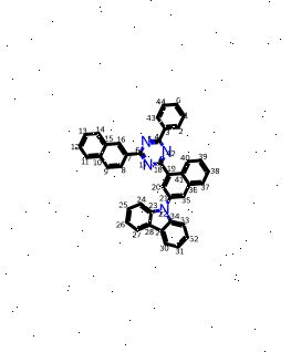 c1ccc(-c2nc(-c3ccc4ccccc4c3)nc(-c3cc(-n4c5ccccc5c5ccccc54)cc4ccccc34)n2)cc1